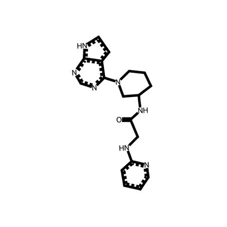 O=C(CNc1ccccn1)NC1CCCN(c2ncnc3[nH]ccc23)C1